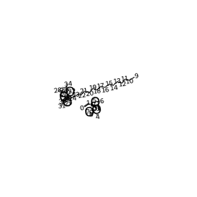 C=C[Si](OC)(OC)OC.CCCCCCCCCCCCCCCC[Si](OCC)(OCC)OCC